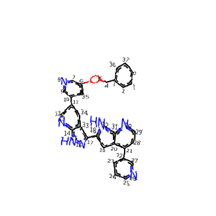 c1ccc(COc2cncc(-c3cnc4[nH]nc(-c5cc6c(-c7cccnc7)ccnc6[nH]5)c4c3)c2)cc1